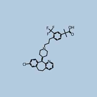 CC(C)(C(=O)O)c1ccc(CCCN2CCC(=C3c4ccc(Cl)cc4CCc4cccnc43)CC2)c(C(F)(F)F)c1